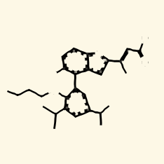 CCCCOc1c(-c2c(F)ccc3sc(C(C)=CC(=O)O)cc23)cc(C(C)C)cc1C(C)C